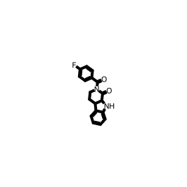 O=C(c1ccc(F)cc1)N1CCC2c3ccccc3NC2C1=O